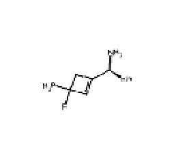 CCC[C@H](N)C1=CC(F)(P)C1